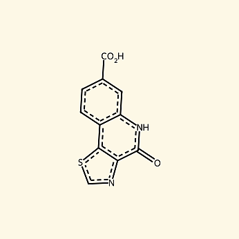 O=C(O)c1ccc2c(c1)[nH]c(=O)c1ncsc12